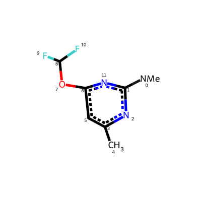 CNc1nc(C)cc(OC(F)F)n1